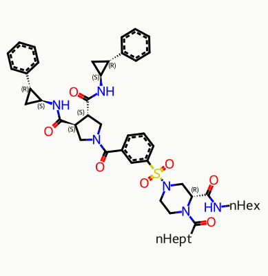 CCCCCCCC(=O)N1CCN(S(=O)(=O)c2cccc(C(=O)N3C[C@@H](C(=O)N[C@H]4C[C@@H]4c4ccccc4)[C@H](C(=O)N[C@H]4C[C@@H]4c4ccccc4)C3)c2)C[C@@H]1C(=O)NCCCCCC